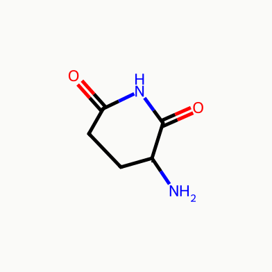 N[C]1CCC(=O)NC1=O